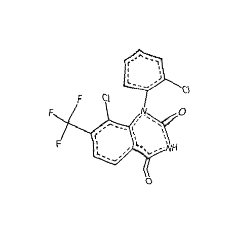 O=c1[nH]c(=O)n(-c2ccccc2Cl)c2c(Cl)c(C(F)(F)F)ccc12